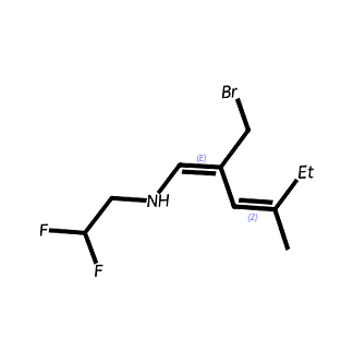 CC/C(C)=C\C(=C/NCC(F)F)CBr